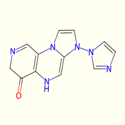 O=C1CN=CC2=C1NC=C1N2C=CN1n1ccnc1